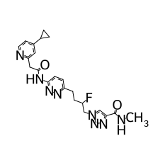 CNC(=O)c1cn(CC(F)CCc2ccc(NC(=O)Cc3cc(C4CC4)ccn3)nn2)nn1